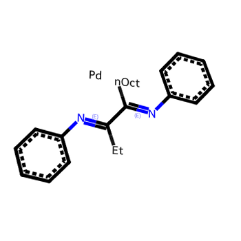 CCCCCCCCC(=N\c1ccccc1)/C(CC)=N/c1ccccc1.[Pd]